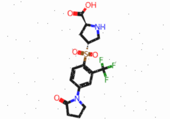 O=C(O)[C@@H]1C[C@@H](S(=O)(=O)c2ccc(N3CCCC3=O)cc2C(F)(F)F)CN1